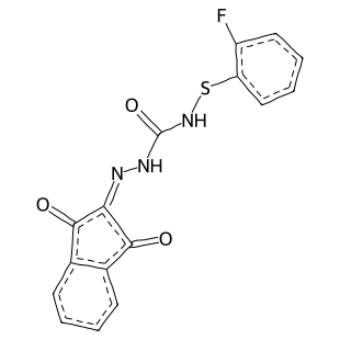 O=C(NN=c1c(=O)c2ccccc2c1=O)NSc1ccccc1F